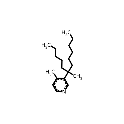 CCCCCCC(C)(CCCCC)c1cnccc1C